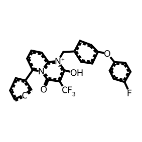 O=c1c(C(F)(F)F)c(O)[n+](Cc2ccc(Oc3ccc(F)cc3)cc2)c2cccc(-c3ccccc3)n12